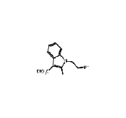 CCOC(=O)c1c(C)n(CCC(C)C)c2ccccc12